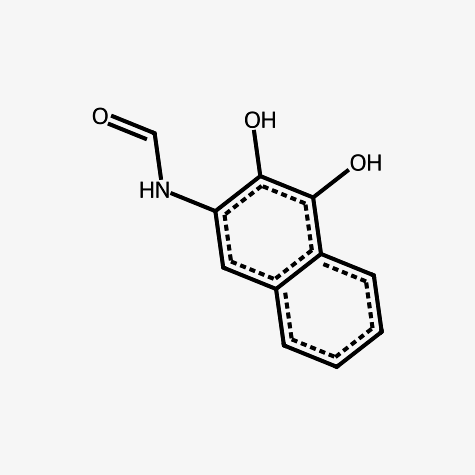 O=CNc1cc2ccccc2c(O)c1O